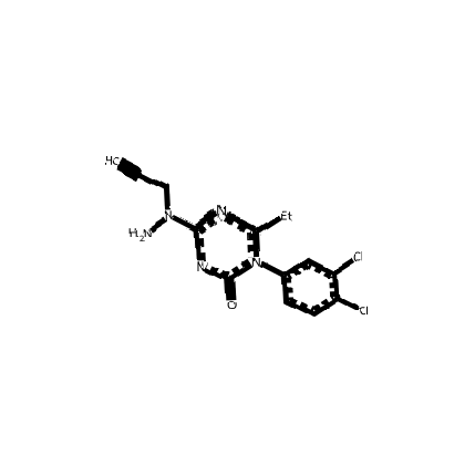 C#CCN(N)c1nc(CC)n(-c2ccc(Cl)c(Cl)c2)c(=O)n1